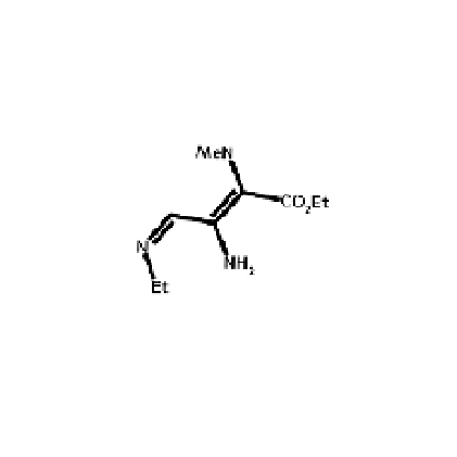 CC/N=C\C(N)=C(/NC)C(=O)OCC